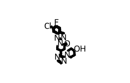 O=C1CC(c2nccnc2N2CCC(O)CC2)CCN1c1ncc2cc(F)c(Cl)cc2n1